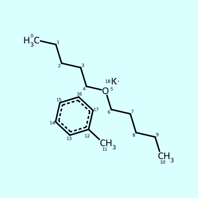 CCCCCOCCCCC.Cc1ccccc1.[K]